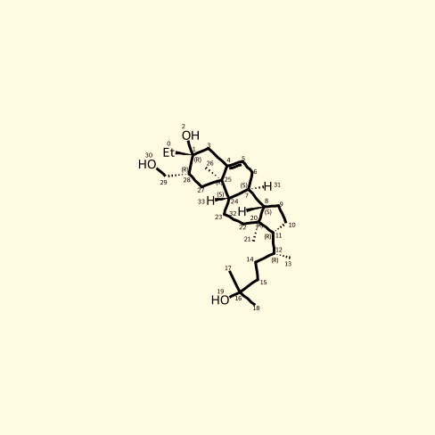 CC[C@@]1(O)CC2=CC[C@H]3[C@@H]4CC[C@H]([C@H](C)CCC(C)(C)O)[C@@]4(C)CC[C@@H]3[C@@]2(C)C[C@@H]1CO